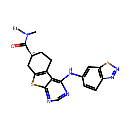 CCN(C)C(=O)[C@H]1CCc2c(sc3ncnc(Nc4ccc5nnsc5c4)c23)C1